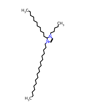 CCCCCCCCCCCCCCCCCCCN1C=CN(CCCCC)C1CCCCCCCCCCC